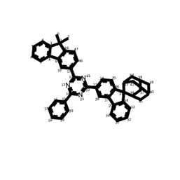 CC1(C)c2ccccc2-c2cc(-c3nc(-c4ccccc4)nc(-c4ccc5c(c4)-c4ccccc4C54C5CC6CC(C5)CC4C6)n3)ccc21